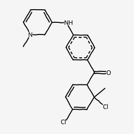 CN1C=CC=C(Nc2ccc(C(=O)C3C=CC(Cl)=CC3(C)Cl)cc2)C1